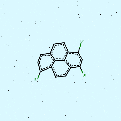 Brc1ccc2ccc3c(Br)cc(Br)c4ccc1c2c34